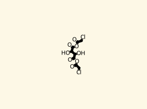 O=C(CCl)OC(=O)C(O)C(O)C(=O)OC(=O)CCl